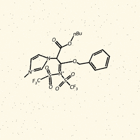 CCCCOC(=O)C(C(OCc1ccccc1)=[N+](S(=O)(=O)C(F)(F)F)S(=O)(=O)C(F)(F)F)n1cc[n+](C)c1